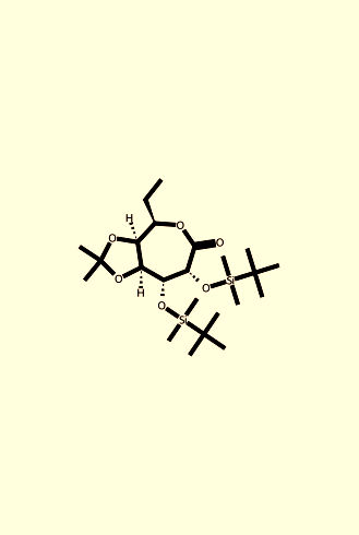 CC[C@H]1OC(=O)[C@H](O[Si](C)(C)C(C)(C)C)[C@H](O[Si](C)(C)C(C)(C)C)[C@H]2OC(C)(C)O[C@H]21